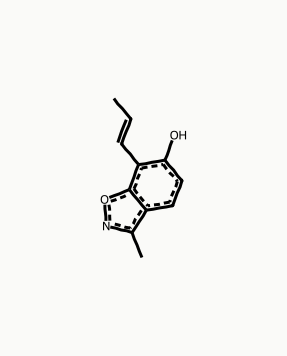 CC=Cc1c(O)ccc2c(C)noc12